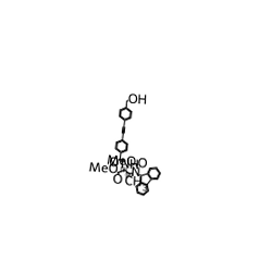 COC(=O)[C@@H](NC(=O)c1ccc(C#Cc2ccc(CO)cc2)cc1)[C@@H](C)N(C(=O)OC)C1c2ccccc2-c2ccccc21